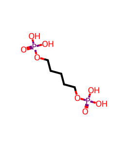 O=P(O)(O)OCCCCCOP(=O)(O)O